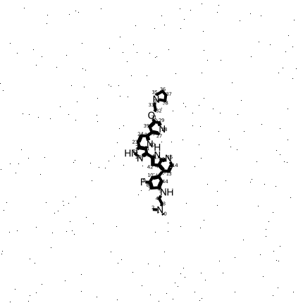 CN(C)CCNc1cc(F)cc(-c2ccnc3[nH]c(-c4n[nH]c5ccc(-c6cncc(OCCN7CCCC7)c6)nc45)cc23)c1